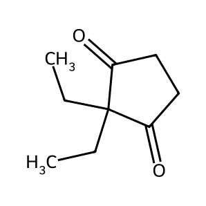 CCC1(CC)C(=O)CCC1=O